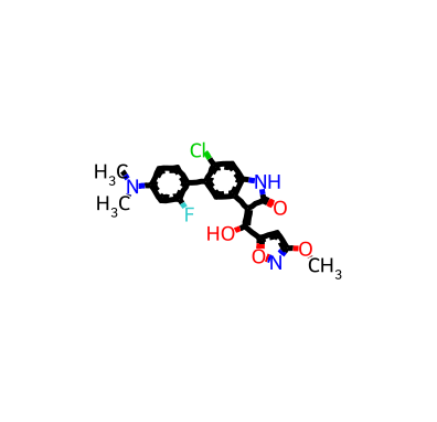 COc1cc(C(O)=C2C(=O)Nc3cc(Cl)c(-c4ccc(N(C)C)cc4F)cc32)on1